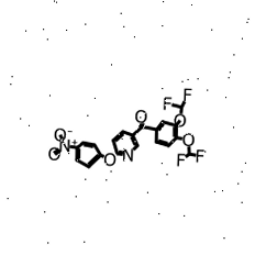 O=C(c1ccc(Oc2ccc([N+](=O)[O-])cc2)nc1)c1ccc(OC(F)F)c(OC(F)F)c1